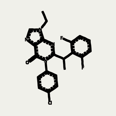 CCn1cnc2c(=O)n(-c3ccc(Cl)cc3)c(C(C)c3c(F)cccc3F)nc21